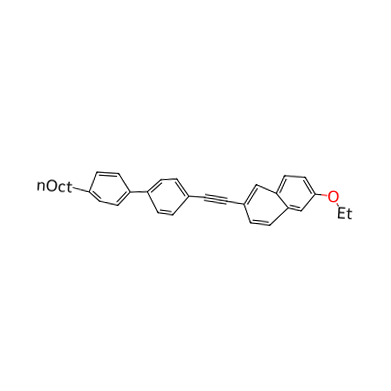 CCCCCCCCc1ccc(-c2ccc(C#Cc3ccc4cc(OCC)ccc4c3)cc2)cc1